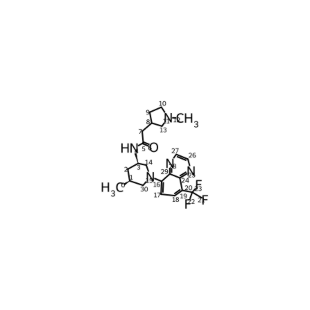 C[C@H]1C[C@@H](NC(=O)CC2CCN(C)C2)CN(c2ccc(C(F)(F)F)c3nccnc23)C1